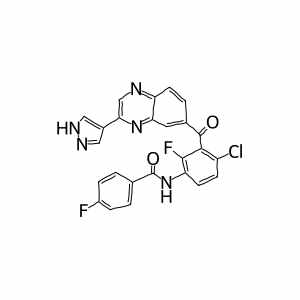 O=C(Nc1ccc(Cl)c(C(=O)c2ccc3ncc(-c4cn[nH]c4)nc3c2)c1F)c1ccc(F)cc1